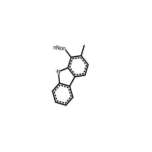 CCCCCCCCCc1c(C)ccc2c1[N]c1ccccc1-2